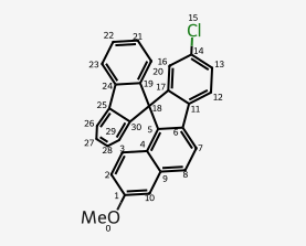 COc1ccc2c3c(ccc2c1)-c1ccc(Cl)cc1C31c2ccccc2-c2ccccc21